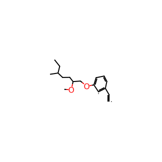 [CH]=Cc1[c]c(OCC(CCC(C)CC)OC)ccc1